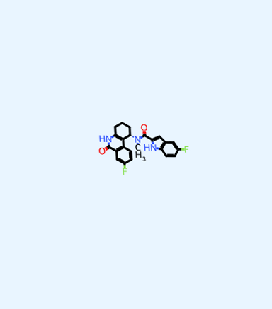 CN(C(=O)c1cc2cc(F)ccc2[nH]1)[C@H]1CCCc2[nH]c(=O)c3cc(F)ccc3c21